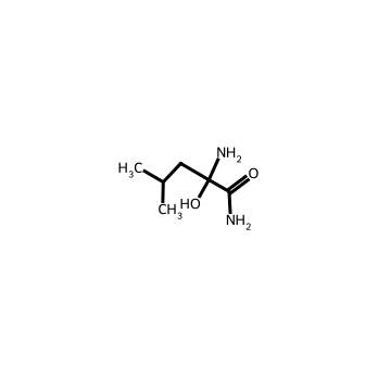 CC(C)CC(N)(O)C(N)=O